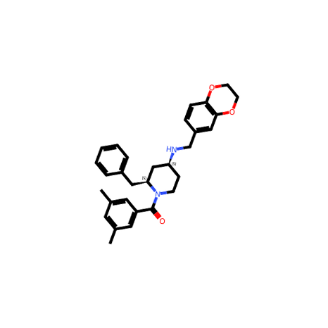 Cc1cc(C)cc(C(=O)N2CC[C@H](NCc3ccc4c(c3)OCCO4)C[C@@H]2Cc2ccccc2)c1